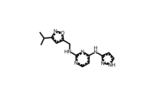 CC(C)c1cc(CNc2nccc(Nc3cc[nH]n3)n2)on1